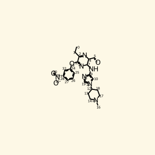 CCC1=NC(C=O)C(Nc2cn(C3CCN(C)CC3)cn2)N=C1Oc1cccc([N+](=O)[O-])c1